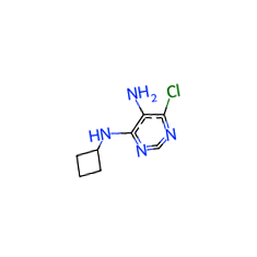 Nc1c(Cl)ncnc1NC1CCC1